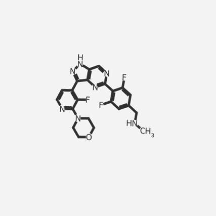 CNCc1cc(F)c(-c2ncc3[nH]nc(-c4ccnc(N5CCOCC5)c4F)c3n2)c(F)c1